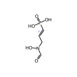 O=CN(O)C/C=C/P(=O)(O)O